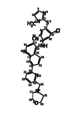 Cn1ccnc1Sc1ccc(Nc2c(C#N)cnc3cc(-c4cccc(CN5CCOCC5)n4)ccc23)cc1Cl